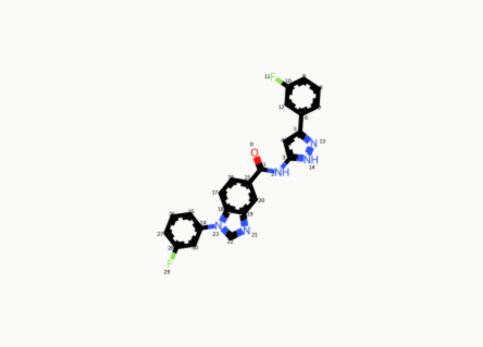 O=C(Nc1cc(-c2cccc(F)c2)n[nH]1)c1ccc2c(c1)ncn2-c1cccc(F)c1